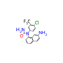 NC(=O)N(c1ccc(Cl)c(C(F)(F)F)c1)c1cccc2ccc(N)cc12